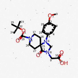 COc1ccc(N2CN(CC(=O)O)C(=O)C23CCN(C(=O)OC(C)(C)C)CC3)cc1